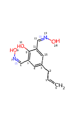 C=CCc1cc(/C=N\O)c(O)c(/C=N\O)c1